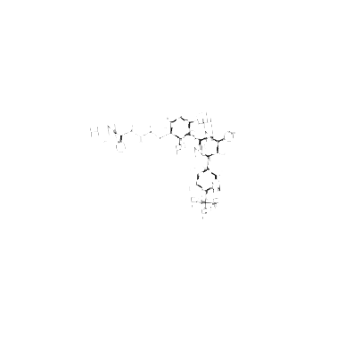 NC(=O)CCCCc1ccc(Cl)c(-c2nc(-c3ccc(C(F)(F)F)nc3)cc(=O)[nH]2)c1F